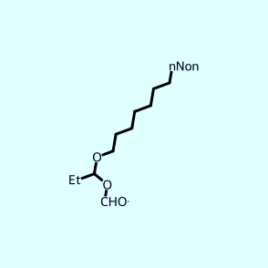 CCCCCCCCCCCCCCCCOC(CC)O[C]=O